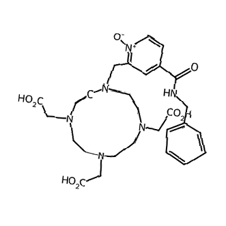 O=C(O)CN1CCN(CC(=O)O)CCN(Cc2cc(C(=O)NCc3ccccc3)cc[n+]2[O-])CCN(CC(=O)O)CC1